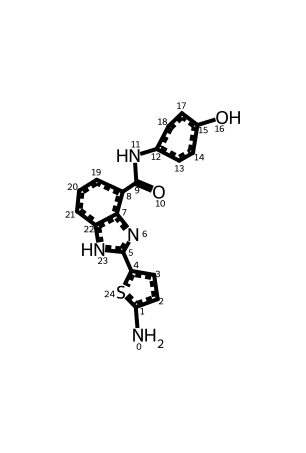 Nc1ccc(-c2nc3c(C(=O)Nc4ccc(O)cc4)cccc3[nH]2)s1